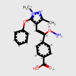 Cc1nn(C)c(Oc2ccccc2)c1C=C(ON)c1ccc(C(=O)O)cc1